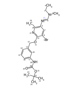 CCN(C)/C=N/c1cc(Br)c(OCc2cccc(NC(=O)OC(C)(C)C)c2)nc1C